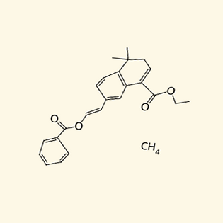 C.CCOC(=O)C1=CCC(C)(C)c2ccc(C=COC(=O)c3ccccc3)cc21